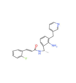 C[C@H](NC(=O)C=Cc1ccccc1F)c1cccc(Cc2cccnc2)c1N